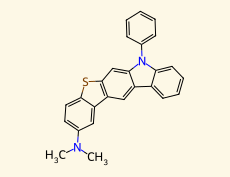 CN(C)c1ccc2sc3cc4c(cc3c2c1)c1ccccc1n4-c1ccccc1